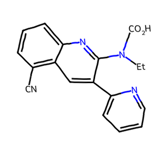 CCN(C(=O)O)c1nc2cccc(C#N)c2cc1-c1ccccn1